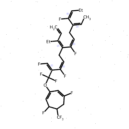 C=C/C(CC)=C(C/C=C(F)\C(=C\F)C(F)(F)OC1=CC(F)C(C(F)(F)F)CC(F)=C1)\C(F)=C/CC(=C/C)/C(F)=C\CC